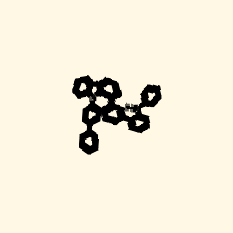 c1ccc(Nc2ccccc2-c2cccc(-c3cccc4c5ccccc5n(-c5ccc(-c6ccccc6)cc5)c34)c2)cc1